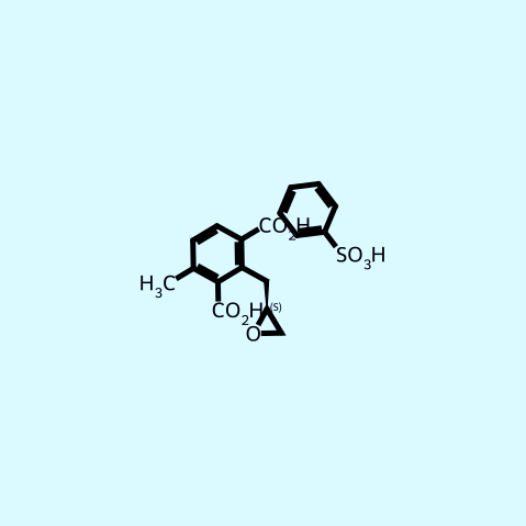 Cc1ccc(C(=O)O)c(C[C@H]2CO2)c1C(=O)O.O=S(=O)(O)c1ccccc1